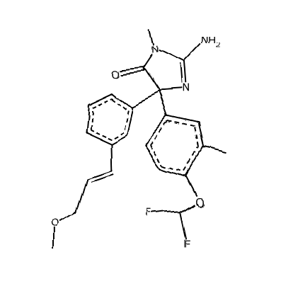 COCC=Cc1cccc(C2(c3ccc(OC(F)F)c(C)c3)N=C(N)N(C)C2=O)c1